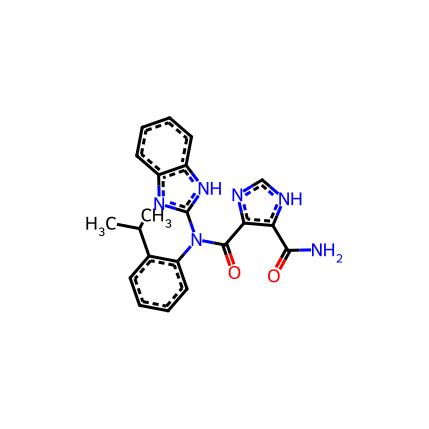 CC(C)c1ccccc1N(C(=O)c1nc[nH]c1C(N)=O)c1nc2ccccc2[nH]1